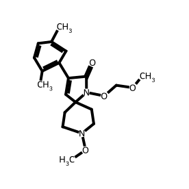 COCON1C(=O)C(c2cc(C)ccc2C)=CC12CCN(OC)CC2